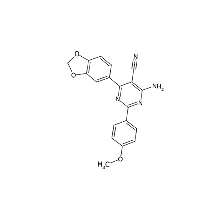 COc1ccc(-c2nc(N)c(C#N)c(-c3ccc4c(c3)OCO4)n2)cc1